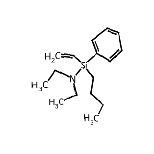 C=C[Si](CCCC)(c1ccccc1)N(CC)CC